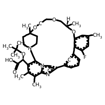 Cc1cc(F)c2c(c1)O[C@@H](C)COCCOC1(C)CCN(CC1)c1c([C@H](OC(C)(C)C)C(=O)O)c(C)c(C)c3nc(c(Cl)n13)-c1cccc-2c1